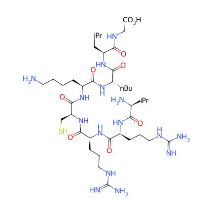 CCCC[C@H](NC(=O)[C@H](CCCCN)NC(=O)[C@H](CS)NC(=O)[C@H](CCCNC(=N)N)NC(=O)[C@H](CCCNC(=N)N)NC(=O)[C@@H](N)C(C)C)C(=O)N[C@@H](CC(C)C)C(=O)NCC(=O)O